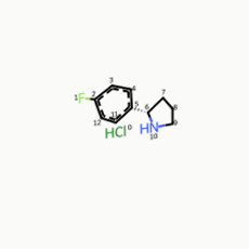 Cl.Fc1ccc([C@@H]2CCCN2)cc1